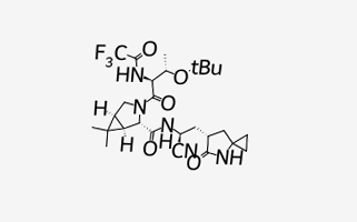 C[C@H](OC(C)(C)C)[C@H](NC(=O)C(F)(F)F)C(=O)N1C[C@H]2[C@@H]([C@H]1C(=O)N[C@H](C#N)C[C@@H]1CC3(CC3)NC1=O)C2(C)C